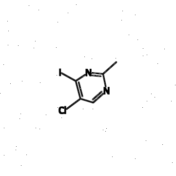 Cc1ncc(Cl)c(I)n1